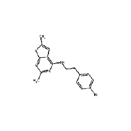 CCc1ccc(CCNc2nc(C)nc3sc(C)cc23)cc1